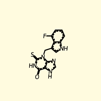 O=c1[nH]c(=S)n(Cc2c[nH]c3cccc(F)c23)c2nc[nH]c12